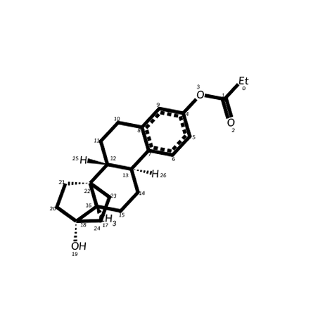 CCC(=O)Oc1ccc2c(c1)CC[C@@H]1[C@@H]2CC[C@]2(C)[C@]3(O)CC[C@@]12CC3